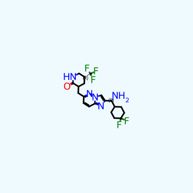 N[C@H](c1cn2nc(CC3C[C@@H](C(F)(F)F)CNC3=O)ccc2n1)C1CCC(F)(F)CC1